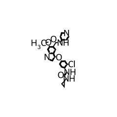 COc1cc2nccc(Oc3ccc(NC(=O)NC4CC4)c(Cl)c3)c2cc1C(=O)Nc1ccncc1